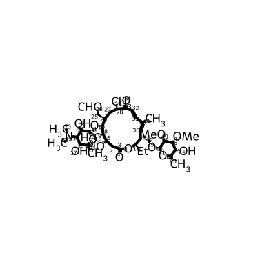 CC[C@H]1OC(=O)C[C@@H](O)[C@H](C)[C@@H](O[C@@H]2O[C@H](C)[C@@H](O)C(N(C)C)C2O)[C@@H](CC=O)C[C@@H](C)C(=O)/C=C/C(C)=C/[C@@H]1CO[C@@H]1OC(C)[C@@H](O)[C@H](OC)C1OC